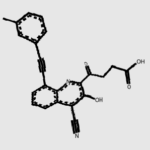 Cc1cccc(C#Cc2cccc3c(C#N)c(O)c(C(=O)CCC(=O)O)nc23)c1